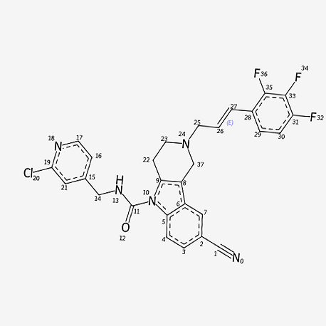 N#Cc1ccc2c(c1)c1c(n2C(=O)NCc2ccnc(Cl)c2)CCN(C/C=C/c2ccc(F)c(F)c2F)C1